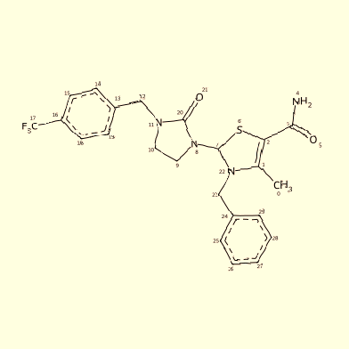 CC1=C(C(N)=O)SC(N2CCN(Cc3ccc(C(F)(F)F)cc3)C2=O)N1Cc1ccccc1